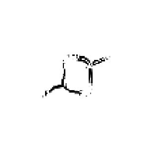 FC(F)F.O=[S](=O)=[Sc]